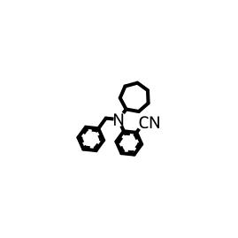 N#Cc1ccccc1N(Cc1ccccc1)C1CCCCCC1